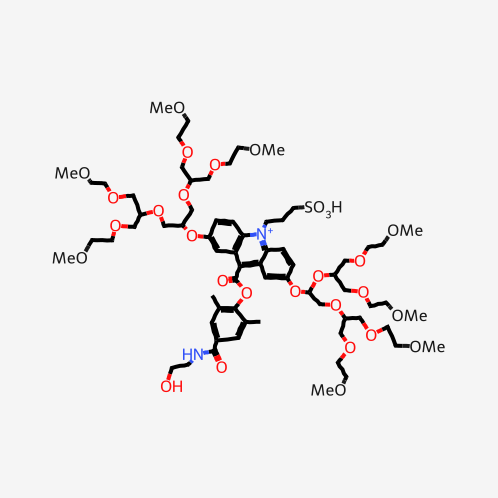 COCCOCC(COCCOC)OCC(COC(COCCOC)COCCOC)Oc1ccc2c(c1)c(C(=O)Oc1c(C)cc(C(=O)NCCO)cc1C)c1cc(OC(COC(COCCOC)COCCOC)OC(COCCOC)COCCOC)ccc1[n+]2CCCS(=O)(=O)O